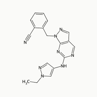 CCn1cc(Nc2ncc3cnn(Cc4ccccc4C#N)c3n2)cn1